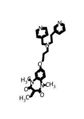 CC=C1C(=O)N(C)c2ccc(OCCCN(CCc3cccnc3)Cc3ccncc3)cc2N(C)C1=O